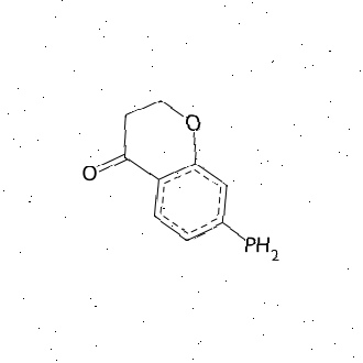 O=C1CCOc2cc(P)ccc21